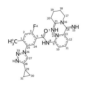 Cc1cc(F)c(C(=O)Nc2cccc(C(=N)N3CCCCC3=N)n2)cc1-n1cc(C2CC2)nn1